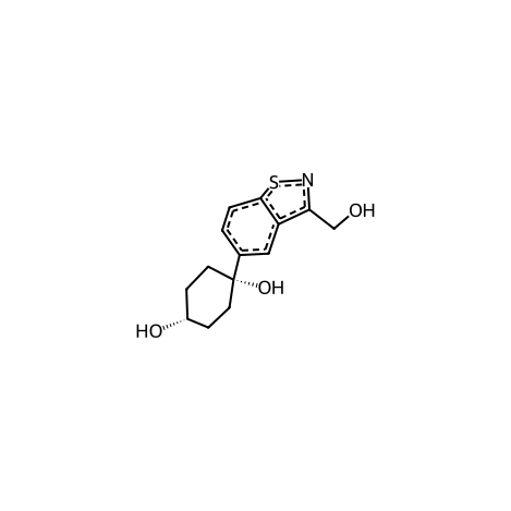 OCc1nsc2ccc([C@]3(O)CC[C@@H](O)CC3)cc12